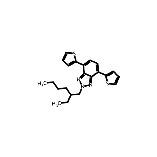 CCCCC(CC)Cn1nc2c(-c3cccs3)ccc(-c3cccs3)c2n1